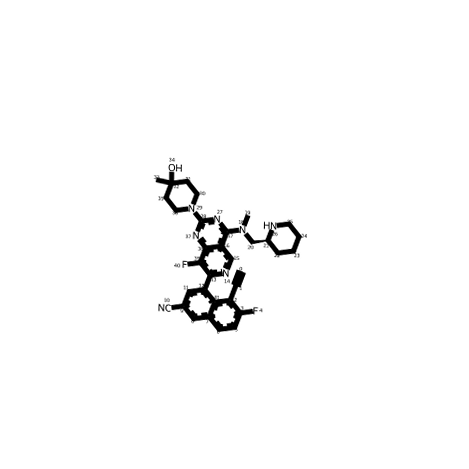 C#Cc1c(F)ccc2cc(C#N)cc(-c3ncc4c(N(C)C[C@@H]5CCCCN5)nc(N5CCC(C)(O)CC5)nc4c3F)c12